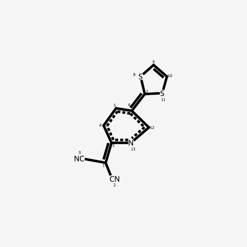 N#CC(C#N)=c1ccc(=C2SC=CS2)cn1